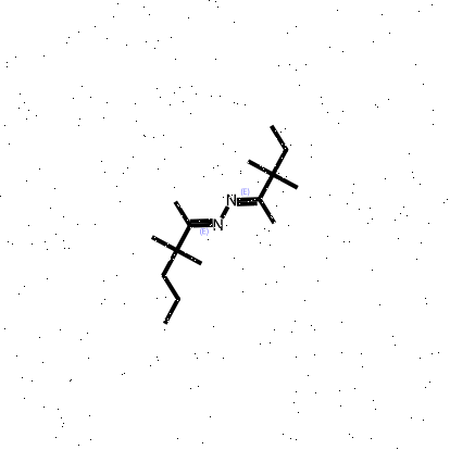 CCCC(C)(C)/C(C)=N/N=C(\C)C(C)(C)CC